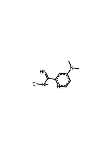 CN(C)c1ccnc(C(=N)NCl)c1